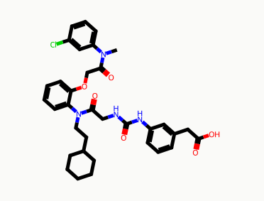 CN(C(=O)COc1ccccc1N(CCC1CCCCC1)C(=O)CNC(=O)Nc1cccc(CC(=O)O)c1)c1cccc(Cl)c1